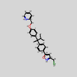 CC(C)C(C)(c1ccc(OCc2ccccn2)cc1)c1ccc(-c2cc(CBr)no2)cc1